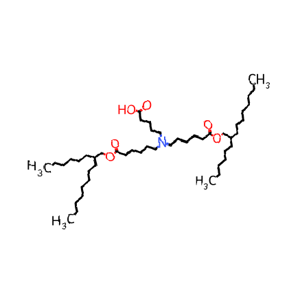 CCCCCCCCC(CCCCCC)COC(=O)CCCCCN(CCCCCC(=O)OCC(CCCCCC)CCCCCCCC)CCCCC(=O)O